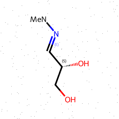 CN/N=C/[C@H](O)CO